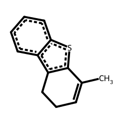 CC1=CCCc2c1sc1ccccc21